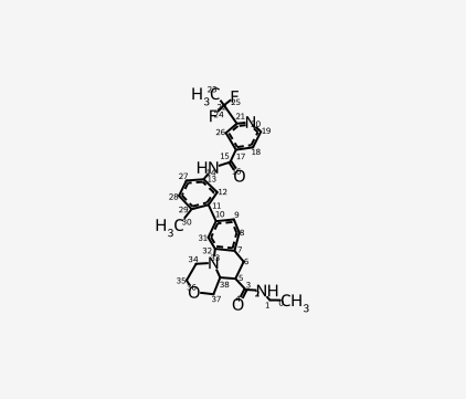 CCNC(=O)C1Cc2ccc(-c3cc(NC(=O)c4ccnc(C(C)(F)F)c4)ccc3C)cc2N2CCOCC12